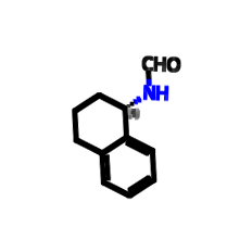 O=CN[C@H]1CCCc2ccccc21